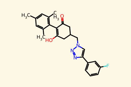 Cc1cc(C)c(C2=C(O)CC(Cn3cc(-c4cccc(F)c4)nn3)CC2=O)c(C)c1